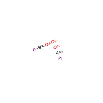 [Al+3].[Al+3].[O-2].[O-2].[O-2].[P].[P]